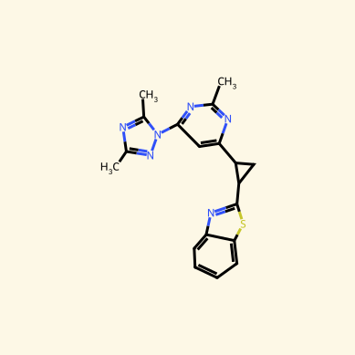 Cc1nc(C2CC2c2nc3ccccc3s2)cc(-n2nc(C)nc2C)n1